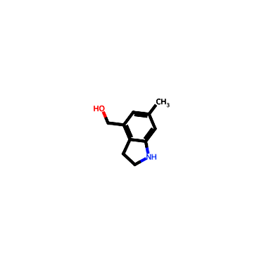 Cc1cc(CO)c2c(c1)NCC2